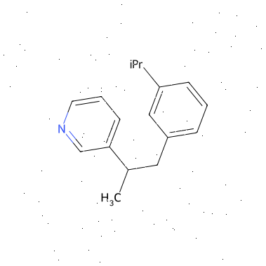 CC(C)c1cccc(CC(C)c2cccnc2)c1